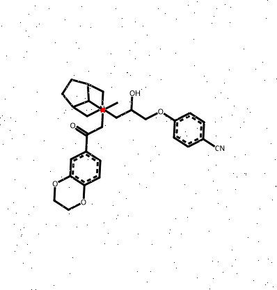 CN(CC(=O)c1ccc2c(c1)OCCO2)C1C2CCC1CN(CC(O)COc1ccc(C#N)cc1)C2